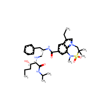 CCC[C@H](O)[C@H](NC[C@H](Cc1ccccc1)NC(=O)c1cc2c3c(c1)c(CC)cn3CC(C)(C)S(=O)(=O)N2C)C(=O)NC(C)C